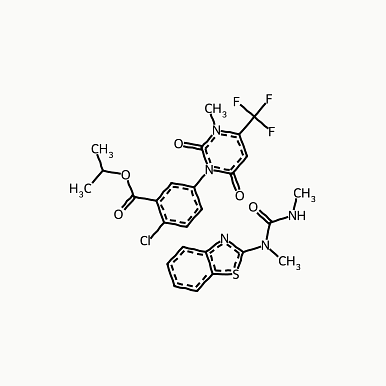 CC(C)OC(=O)c1cc(-n2c(=O)cc(C(F)(F)F)n(C)c2=O)ccc1Cl.CNC(=O)N(C)c1nc2ccccc2s1